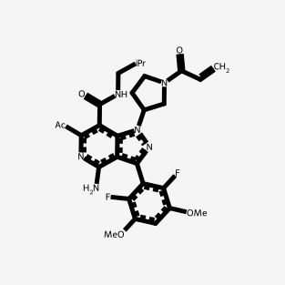 C=CC(=O)N1CCC(n2nc(-c3c(F)c(OC)cc(OC)c3F)c3c(N)nc(C(C)=O)c(C(=O)NCC(C)C)c32)C1